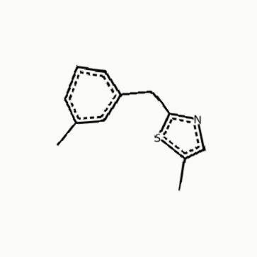 Cc1cccc(Cc2ncc(C)s2)c1